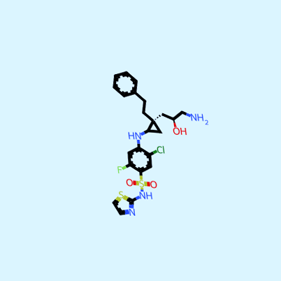 NC[C@@H](O)C[C@]1(CCc2ccccc2)CC1Nc1cc(F)c(S(=O)(=O)Nc2nccs2)cc1Cl